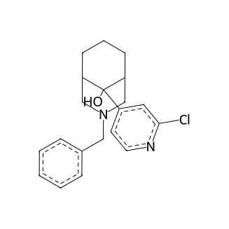 OC1(c2ccnc(Cl)c2)C2CCCC1CN(Cc1ccccc1)C2